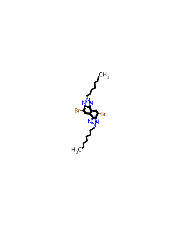 CCCCCCCCn1nc2c(Br)cc3c(cc(Br)c4nn(CCCCCCCC)nc43)c2n1